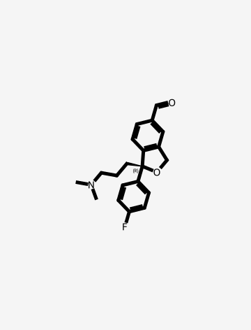 CN(C)CCC[C@]1(c2ccc(F)cc2)OCc2cc(C=O)ccc21